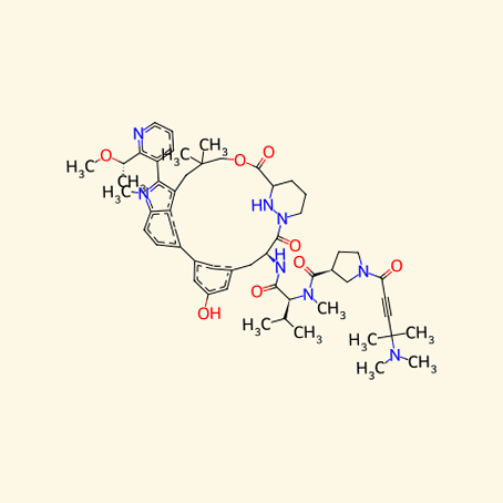 CO[C@@H](C)c1ncccc1-c1c2c3cc(ccc3n1C)-c1cc(O)cc(c1)C[C@H](NC(=O)[C@H](C(C)C)N(C)C(=O)[C@H]1CCN(C(=O)C#CC(C)(C)N(C)C)C1)C(=O)N1CCCC(N1)C(=O)OCC(C)(C)C2